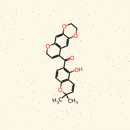 CC1(C)C=Cc2c(ccc(C(=O)C3=CCOc4cc5c(cc43)OCCO5)c2O)O1